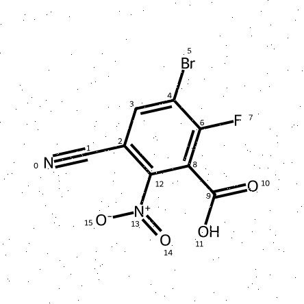 N#Cc1cc(Br)c(F)c(C(=O)O)c1[N+](=O)[O-]